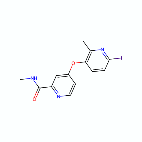 CNC(=O)c1cc(Oc2ccc(I)nc2C)ccn1